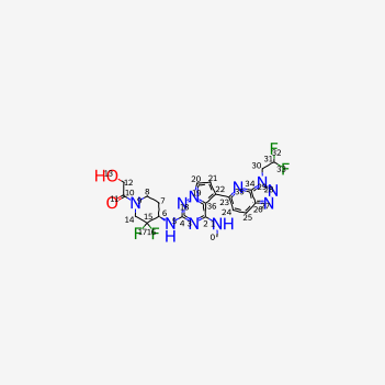 CNc1nc(N[C@@H]2CCN(C(=O)CO)CC2(F)F)nn2ccc(-c3ccc4nnn(CC(F)F)c4n3)c12